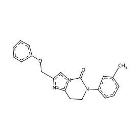 Cc1cccc(N2CCc3nc(COc4ccccc4)cn3C2=O)c1